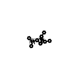 c1ccc(-c2ccc3nc4n(-c5ccc(-c6nc(-c7ccccc7)nc(-c7ccccc7)n6)cc5-c5ccccc5)c5ccc(-c6ccccc6)cc5n4c3c2)cc1